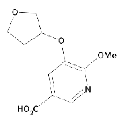 COc1ncc(C(=O)O)cc1OC1CCOC1